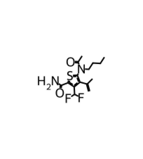 C=C(C)c1c(N(CCCC)C(C)=O)sc(C(N)=O)c1C(F)F